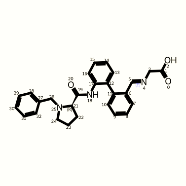 O=C(O)C/N=C/c1ccccc1-c1ccccc1NC(=O)[C@H]1CCCN1Cc1ccccc1